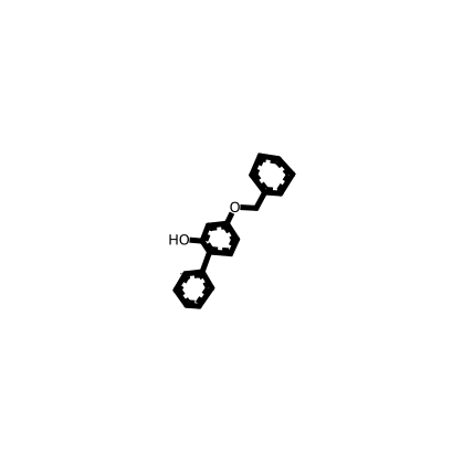 Oc1cc(OCc2ccccc2)ccc1-c1[c]cccc1